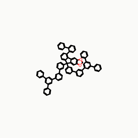 c1ccc(-c2cc(-c3ccccc3)cc(-c3cccc(-c4cccc(C5(c6cccc(-c7cccc(-c8cc(-c9ccccc9)cc(-c9ccccc9)c8)c7)c6)c6cc7c(cc6-c6c(-c8ccccc8-c8ccccc8)cccc65)OCO7)c4)c3)c2)cc1